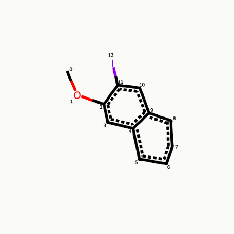 COc1cc2ccccc2cc1I